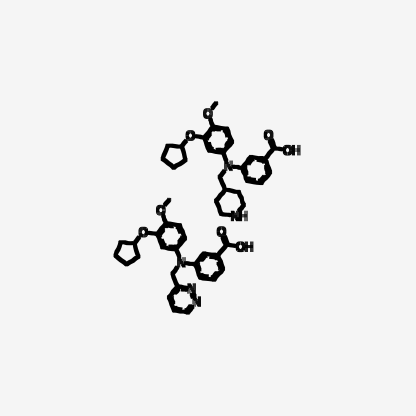 COc1ccc(N(CC2CCNCC2)c2cccc(C(=O)O)c2)cc1OC1CCCC1.COc1ccc(N(Cc2cccnn2)c2cccc(C(=O)O)c2)cc1OC1CCCC1